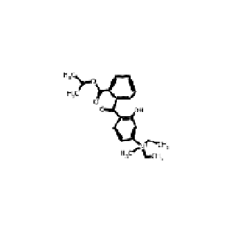 CC[N+](C)(CC)c1ccc(C(=O)c2ccccc2C(=O)OC(C)C)c(O)c1